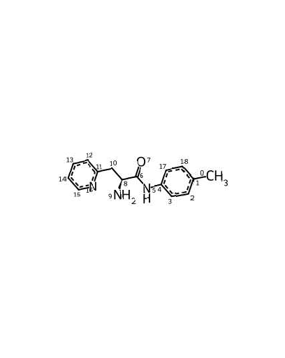 Cc1ccc(NC(=O)[C@@H](N)Cc2ccccn2)cc1